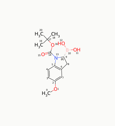 COc1ccc2c(c1)C[C@@H](B(O)O)N2C(=O)OC(C)(C)C